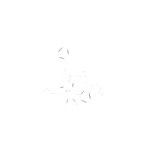 CN(C)COC[C@H](NC(=O)[C@@H]1C[C@@H](OCc2ccc(Cl)cc2)CN1C(=O)[C@@H](CCC1CCNCC1)NS(C)(=O)=O)C(=O)c1nc2ccccc2o1